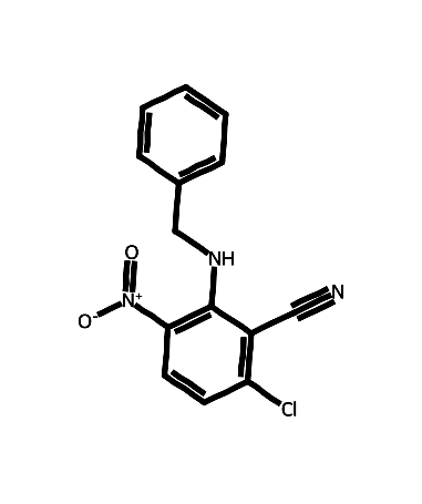 N#Cc1c(Cl)ccc([N+](=O)[O-])c1NCc1ccccc1